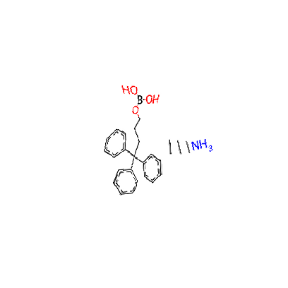 CC.CC.CC.N.OB(O)OCCCC(c1ccccc1)(c1ccccc1)c1ccccc1